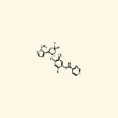 Cn1nccc1C1CC(F)(F)C[C@@H]1Oc1cc(F)c(SNc2ccncn2)cc1Cl